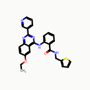 CCOc1ccc2nc(-c3cccnc3)nc(Nc3ccccc3C(=O)NCc3cccs3)c2c1